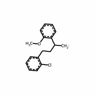 [CH2]C(CCc1ccccc1Cl)c1ccccc1OC